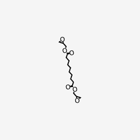 O=C(CCCCCCCCC(=O)OCC1CO1)OCC1CO1